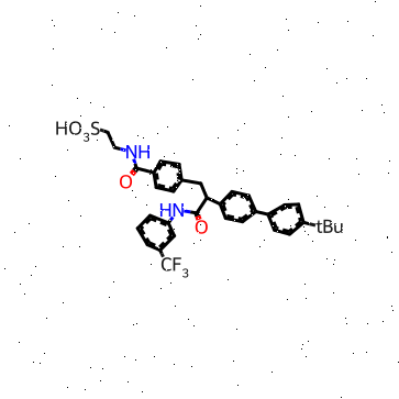 CC(C)(C)c1ccc(-c2ccc(C(Cc3ccc(C(=O)NCCS(=O)(=O)O)cc3)C(=O)Nc3cccc(C(F)(F)F)c3)cc2)cc1